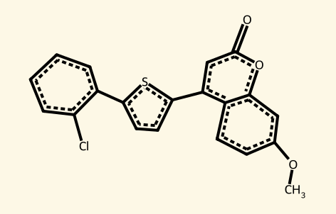 COc1ccc2c(-c3ccc(-c4ccccc4Cl)s3)cc(=O)oc2c1